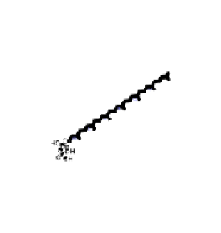 CC(C)=CCC/C(C)=C/CC/C(C)=C/CC/C(C)=C/CC/C(C)=C/CC/C(C)=C/CC/C(C)=C/COP(=O)(O)OP(=O)(O)O